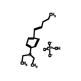 CCCC=Cc1ccc(N(CC)CC)cc1.[O-][Cl+3]([O-])([O-])O